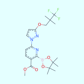 COC(=O)c1ccc(-n2ccc(OCC(C)(C)C(F)(F)F)n2)nc1B1OC(C)(C)C(C)(C)O1